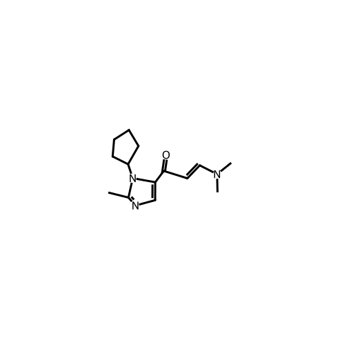 Cc1ncc(C(=O)/C=C/N(C)C)n1C1CCCC1